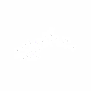 CCC/N=C1/O/C(=C\c2ccc(OC[C@@H](O)CO)c(Cl)c2)C(=O)N1c1ccccc1C